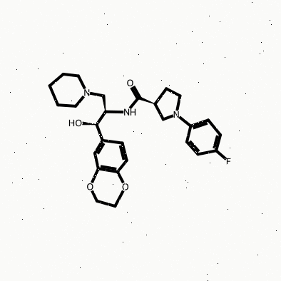 O=C(N[C@H](CN1CCCCC1)[C@H](O)c1ccc2c(c1)OCCO2)[C@H]1CCN(c2ccc(F)cc2)C1